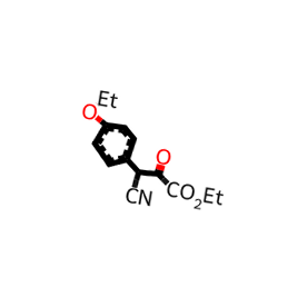 CCOC(=O)C(=O)C(C#N)c1ccc(OCC)cc1